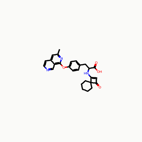 Cc1cc2ccncc2c(Oc2ccc(CC(NC3=CC(=O)C34CCCCC4)C(=O)O)cc2)n1